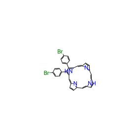 Brc1ccc(-c2c(-c3ccc(Br)cc3)c3cc4nc(cc5ccc(cc6nc(cc2[nH]3)C=C6)[nH]5)C=C4)cc1